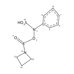 O=C(ON(c1ccccc1)S(=O)(=O)O)N1CCC1